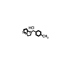 Cc1ccc(CN2CCn3nccc32)cc1.Cl